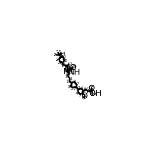 COc1ccc(-c2ccc(CCCc3nn(C(C)Cc4ccc(C(C)(C)C)cc4)c(=O)[nH]3)cc2)cc1CCC(=O)O